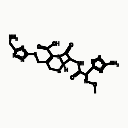 CO/N=C(/C(=O)NC1C(=O)N2C(C(=O)O)=C(CSc3nnc(CN)s3)CS[C@H]12)c1nsc(N)n1